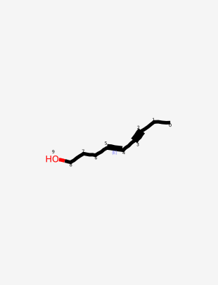 CCC#C/C=C/CCCO